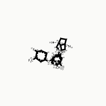 Cn1nc(N[C@H]2[C@@H]3CC[C@H]2CN(c2ccnc(Cl)c2)C3)nc1Oc1ccc(F)c(C(F)(F)F)c1